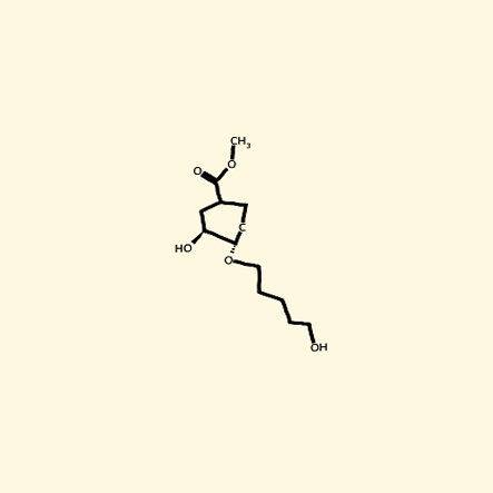 COC(=O)C1CC[C@H](OCCCCCO)[C@@H](O)C1